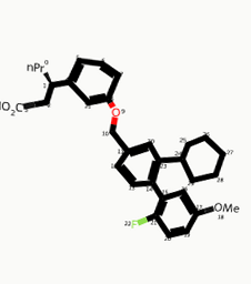 CCC[C@H](CC(=O)O)c1cccc(OCc2ccc(-c3cc(OC)ccc3F)c(C3CCCCC3)c2)c1